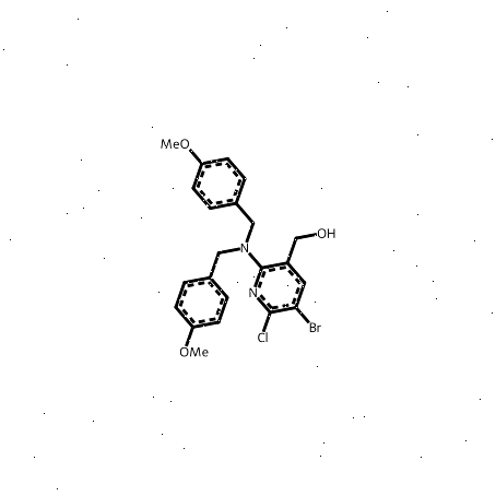 COc1ccc(CN(Cc2ccc(OC)cc2)c2nc(Cl)c(Br)cc2CO)cc1